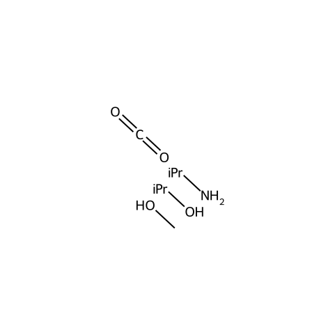 CC(C)N.CC(C)O.CO.O=C=O